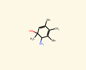 CC1=C(C(C)(C)C)C(N)C(C)(O)C=C1C(C)(C)C